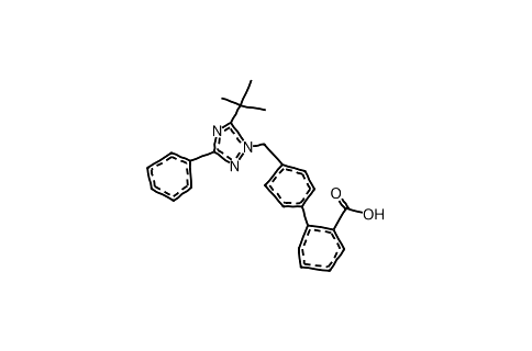 CC(C)(C)c1nc(-c2ccccc2)nn1Cc1ccc(-c2ccccc2C(=O)O)cc1